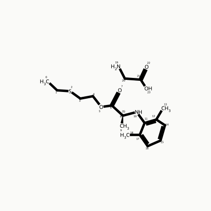 CCSCCOC(=O)[C@H](C)Nc1c(C)cccc1C.NCC(=O)O